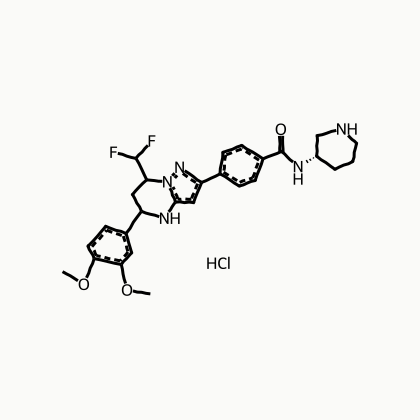 COc1ccc(C2CC(C(F)F)n3nc(-c4ccc(C(=O)N[C@H]5CCCNC5)cc4)cc3N2)cc1OC.Cl